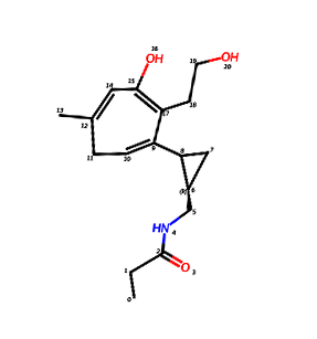 CCC(=O)NC[C@@H]1CC1C1=CCC(C)=CC(O)=C1CCO